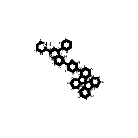 C1=CNC(c2cc(-c3ccccc3)c3cc(-c4ccc(-c5cccc6c5-c5ccccc5C65c6ccccc6-c6ccccc65)cc4)ccc3n2)C=C1